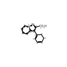 O=C(O)c1nn2ccccc2c1C1=CC=CCC1